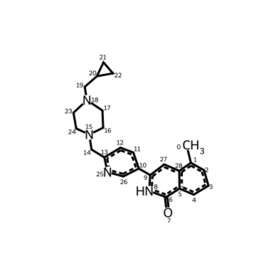 Cc1cccc2c(=O)[nH]c(-c3ccc(CN4CCN(CC5CC5)CC4)nc3)cc12